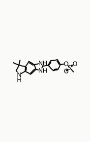 CC1(C)CNc2cc3c(cc21)NC(c1ccc(OS(C)(=O)=O)cc1)N3